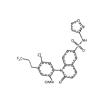 COc1cc(CCC(F)(F)F)c(Cl)cc1-n1c(=O)ccc2cc(S(=O)(=O)Nc3ccon3)ccc21